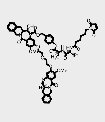 COc1cc2c(cc1OCCOCCOc1cc3c(cc1OC)C(=O)N1Cc4ccccc4CC1C(O)N3C(=O)OCc1ccc(NC(=O)[C@H](C)NC(=O)[C@@H](NC(=O)CCCCCN3C(=O)C=CC3=O)C(C)C)cc1)N=C[C@@H]1Cc3ccccc3CN1C2=O